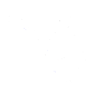 CC(NS(=O)(=O)/C=C/c1cccc(NCC(=O)O)c1)c1ccc(F)c(OCC2CC2)c1